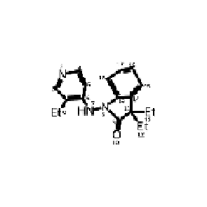 CCc1cnccc1NN1C(=O)C(CC)(CC)c2ccccc21